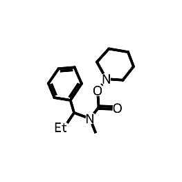 CCC(c1ccccc1)N(C)C(=O)ON1CCCCC1